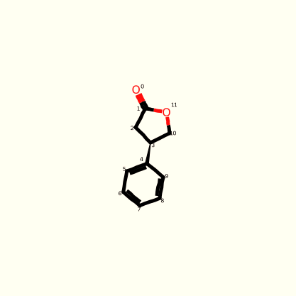 O=C1C[C@H](c2ccccc2)CO1